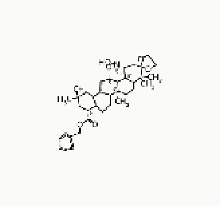 CC1(C)CC2C3=C[C@H](O)C4[C@@](C)(CCC5C(C)(C)C6(CC[C@@]54C=NO)OCCO6)C3CCC2[C@H](C(=O)OCc2ccccc2)C1